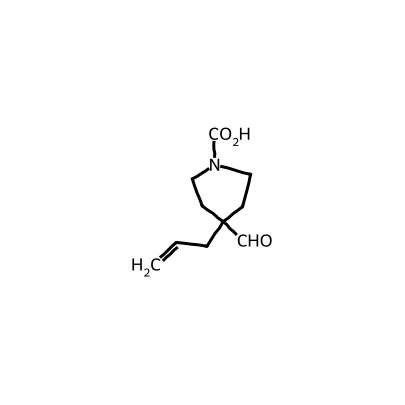 C=CCC1(C=O)CCN(C(=O)O)CC1